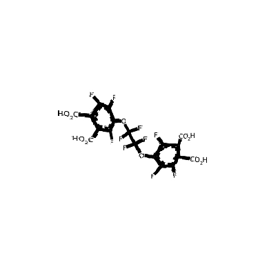 O=C(O)c1c(F)c(F)c(OC(F)(F)C(F)(F)Oc2c(F)c(F)c(C(=O)O)c(C(=O)O)c2F)c(F)c1C(=O)O